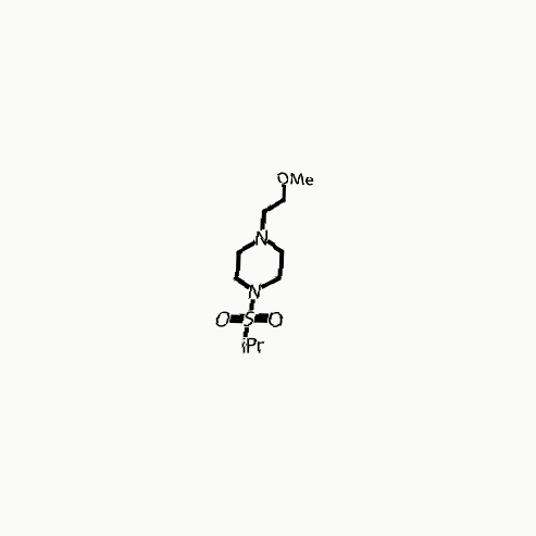 COCCN1CCN(S(=O)(=O)C(C)C)CC1